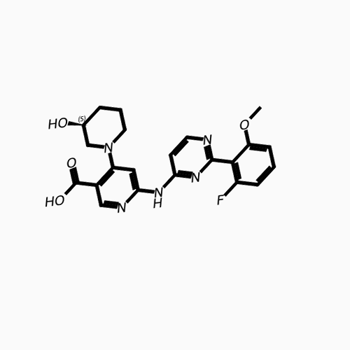 COc1cccc(F)c1-c1nccc(Nc2cc(N3CCC[C@H](O)C3)c(C(=O)O)cn2)n1